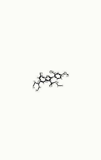 CCOC(=O)c1c(-c2ccc(OC)cc2Cl)nn2c(C)cc(C(CC)CC)cc12